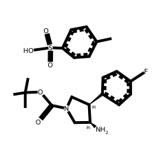 CC(C)(C)OC(=O)N1C[C@H](N)[C@H](c2ccc(F)cc2)C1.Cc1ccc(S(=O)(=O)O)cc1